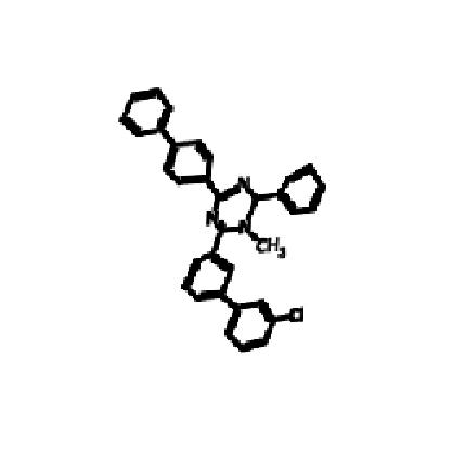 CN1C(c2cccc(-c3cccc(Cl)c3)c2)=NC(c2ccc(-c3ccccc3)cc2)=NC1c1ccccc1